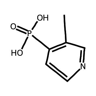 Cc1cnccc1P(=O)(O)O